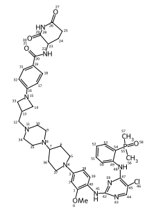 COc1cc(N2CCC(N3CCN(CC4CN(c5ccc(C(=O)NC6CCC(=O)NC6=O)cc5)C4)CC3)CC2)ccc1Nc1ncc(Cl)c(Nc2ccccc2P(C)(C)=O)n1